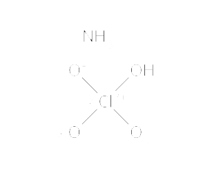 N.[O-][Cl+3]([O-])([O-])O